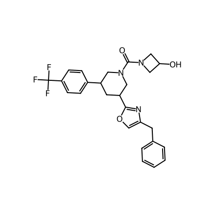 O=C(N1CC(O)C1)N1CC(c2ccc(C(F)(F)F)cc2)CC(c2nc(Cc3ccccc3)co2)C1